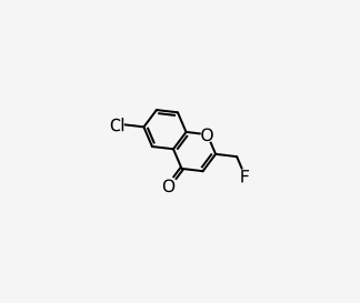 O=c1cc(CF)oc2ccc(Cl)cc12